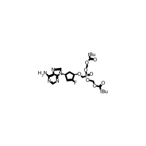 CC(C)(C)C(=O)OCOP(=O)(CO[C@@H]1C[C@H](n2cnc3c(N)ncnc32)C=C1F)OCOC(=O)C(C)(C)C